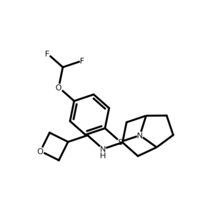 FC(F)Oc1ccc(SN2C3CCC2CC(NCC2COC2)C3)cc1